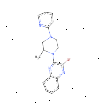 CC1CN(c2ccccn2)CCN1c1nc2ccccc2nc1Br